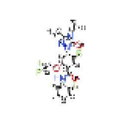 Cc1nn(-c2cc(OCC(F)(F)F)c(C(=O)Nc3c(F)cccc3F)cc2F)c(=O)n1C1CC1